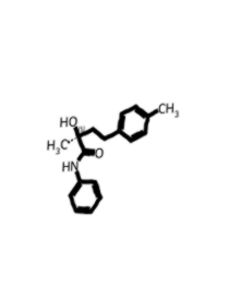 Cc1ccc(CC[C@](C)(O)C(=O)Nc2ccccc2)cc1